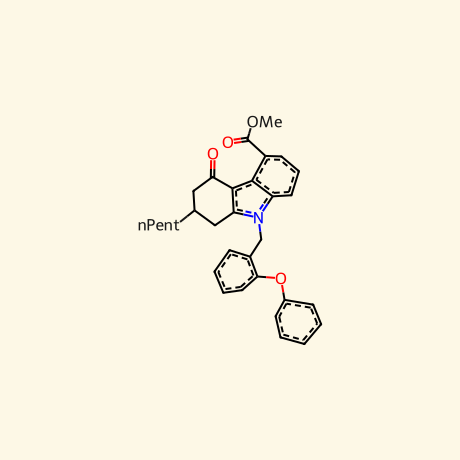 CCCCCC1CC(=O)c2c(n(Cc3ccccc3Oc3ccccc3)c3cccc(C(=O)OC)c23)C1